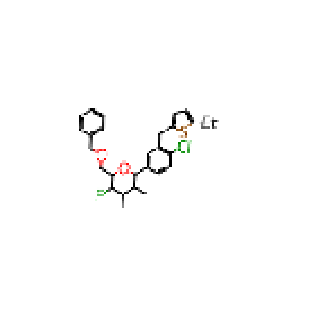 CCc1ccc(Cc2cc(C3OC(COCc4ccccc4)C(F)C(C)C3C)ccc2Cl)s1